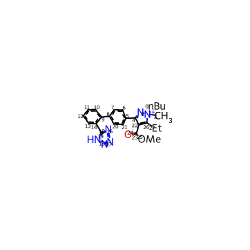 CCCC[N+]1(C)N=C(c2ccc(-c3ccccc3-c3nnn[nH]3)cc2)C(C(=O)OC)=C1CC